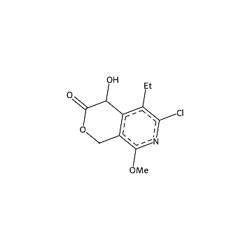 CCc1c(Cl)nc(OC)c2c1C(O)C(=O)OC2